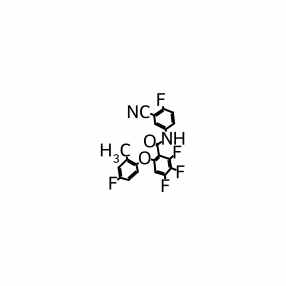 Cc1cc(F)ccc1Oc1cc(F)c(F)c(F)c1C(=O)Nc1ccc(F)c(C#N)c1